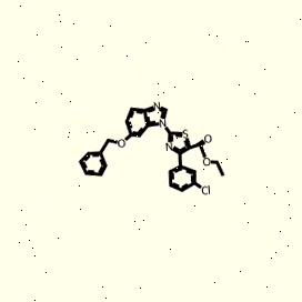 CCOC(=O)c1sc(-n2cnc3ccc(OCc4ccccc4)cc32)nc1-c1cccc(Cl)c1